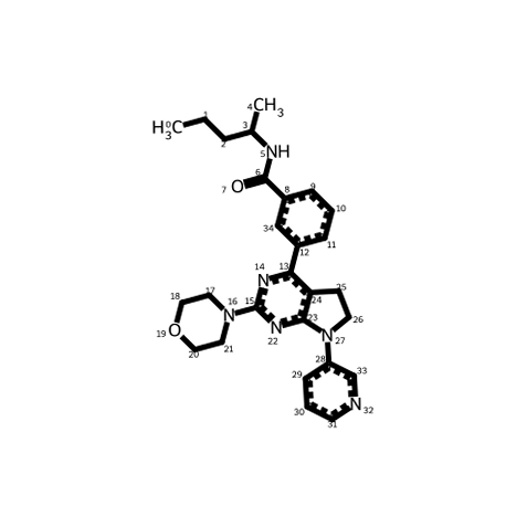 CCCC(C)NC(=O)c1cccc(-c2nc(N3CCOCC3)nc3c2CCN3c2cccnc2)c1